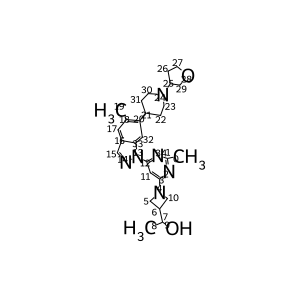 Cc1nc(N2CC(C(C)O)C2)cc(-n2ncc3cc(C)c(C4CCN(C5CCOC5)CC4)cc32)n1